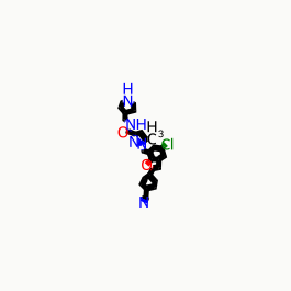 Cc1cc(C(=O)NCC2CCNCC2)nn1Cc1cc(Cl)cc2cc(-c3ccc(C#N)cc3)oc12